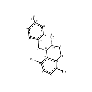 CC[C@@H]1CCc2c(F)ccc(F)c2[C@@H]1Cc1ccc(Cl)cc1